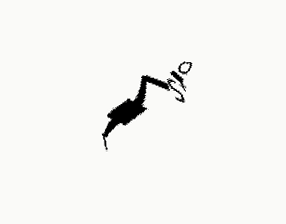 O=[S+]CC#CI